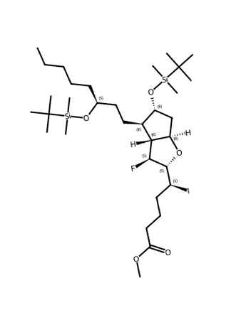 CCCCC[C@@H](CC[C@@H]1[C@H]2[C@H](F)[C@@H]([C@@H](I)CCCC(=O)OC)O[C@@H]2C[C@H]1O[Si](C)(C)C(C)(C)C)O[Si](C)(C)C(C)(C)C